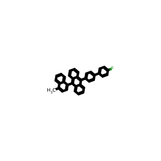 Cc1ccc(-c2c3ccccc3c(-c3ccc(-c4ccc(F)cc4)cc3)c3ccccc23)c2ccccc12